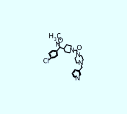 CON=C(c1ccc(Cl)cc1)C1CCN(C(=O)N2CCN(Cc3cccnc3)CC2)CC1